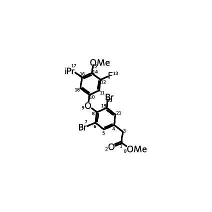 COC(=O)Cc1cc(Br)c(Oc2cc(F)c(OC)c(C(C)C)c2)c(Br)c1